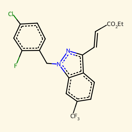 CCOC(=O)C=Cc1nn(Cc2ccc(Cl)cc2F)c2cc(C(F)(F)F)ccc12